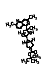 Cc1cc2nc(C)ccc2c(C(C)(C)NC(=O)[C@H]2[C@@H]3CN(C(=O)OC(C)(C)C)C[C@@H]32)n1